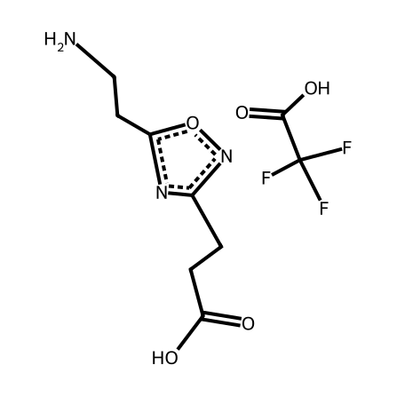 NCCc1nc(CCC(=O)O)no1.O=C(O)C(F)(F)F